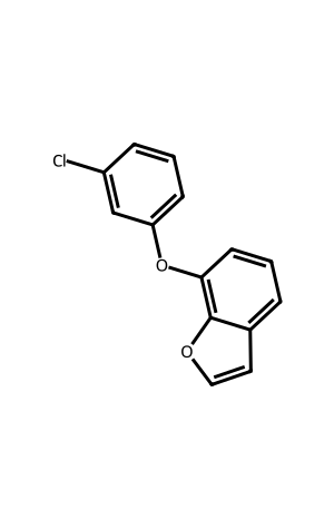 Clc1cccc(Oc2cccc3ccoc23)c1